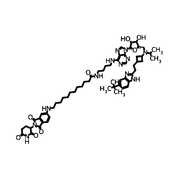 CC(C)N(C[C@H]1O[C@@H](n2cnc3c(NCCCCNC(=O)CCCCCCCCCCCNc4ccc5c(c4)C(=O)N(C4CCC(=O)NC4=O)C5=O)ncnc32)C(O)C1O)C1CC(CCc2nc3cc(C(C)(C)C)ccc3[nH]2)C1